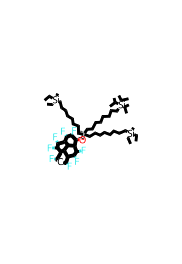 CC[Si](C)(CC)CCCCCCCC[Si](CCCCCCCC[Si](C)(CC)CC)(CCCCCCCC[Si](C(C)C)(C(C)C)C(C)C)Oc1c(F)c(F)c2c(F)c(F)c3c(F)[c]c(F)c4c(F)c(F)c1c2c34